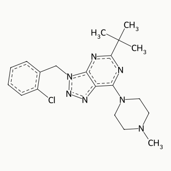 CN1CCN(c2nc(C(C)(C)C)nc3c2nnn3Cc2ccccc2Cl)CC1